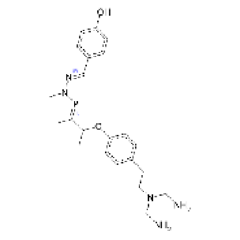 C/C(=P\N(C)/N=C/c1ccc(O)cc1)C(C)Oc1ccc(CCN(CN)CN)cc1